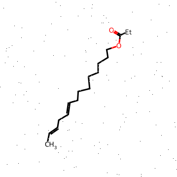 CC=CCC=CCCCCCCCCOC(=O)CC